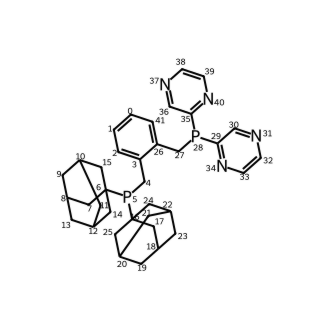 c1ccc(CP(C23CC4CC(CC(C4)C2)C3)C23CC4CC(CC(C4)C2)C3)c(CP(c2cnccn2)c2cnccn2)c1